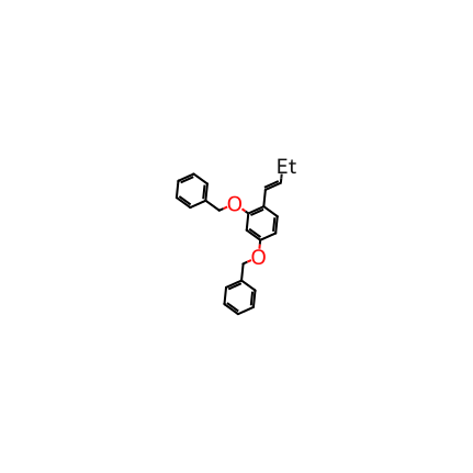 CCC=Cc1ccc(OCc2ccccc2)cc1OCc1ccccc1